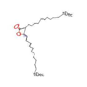 CCCCCCCCCCCCCCCCCCCC/C=C1\OC(=O)C1CCCCCCCCCCCCCCCCCCCC